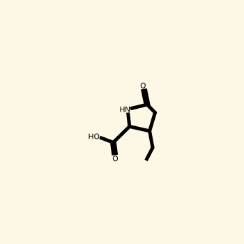 CCC1CC(=O)NC1C(=O)O